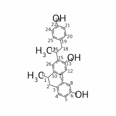 CC(Cc1ccc(O)cc1)c1ccc(O)c(C(C)Cc2ccc(O)cc2)c1